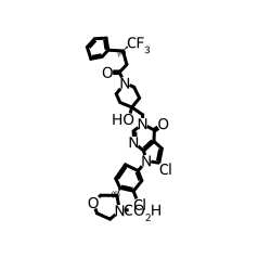 O=C(C[C@H](c1ccccc1)C(F)(F)F)N1CCC(O)(Cn2cnc3c(cc(Cl)n3-c3ccc([C@H]4COCCN4C(=O)O)c(Cl)c3)c2=O)CC1